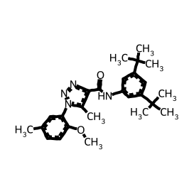 COc1ccc(C)cc1-n1nnc(C(=O)Nc2cc(C(C)(C)C)cc(C(C)(C)C)c2)c1C